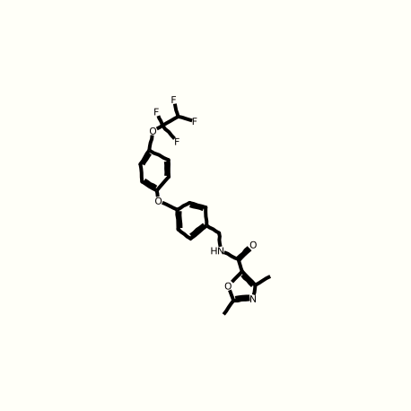 Cc1nc(C)c(C(=O)NCc2ccc(Oc3ccc(OC(F)(F)C(F)F)cc3)cc2)o1